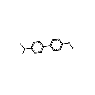 CCOc1ccc(-c2ccc(C(F)F)nc2)cc1